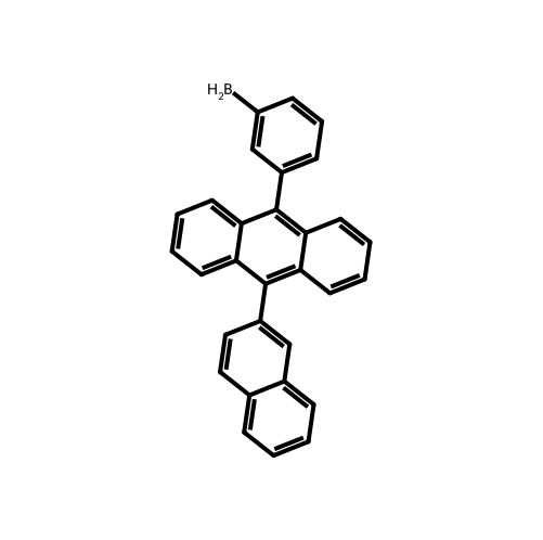 Bc1cccc(-c2c3ccccc3c(-c3ccc4ccccc4c3)c3ccccc23)c1